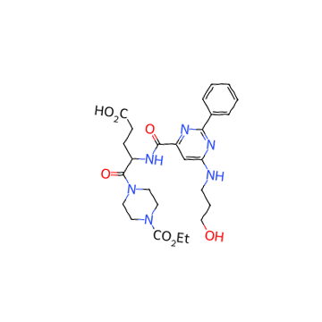 CCOC(=O)N1CCN(C(=O)C(CCC(=O)O)NC(=O)c2cc(NCCCO)nc(-c3ccccc3)n2)CC1